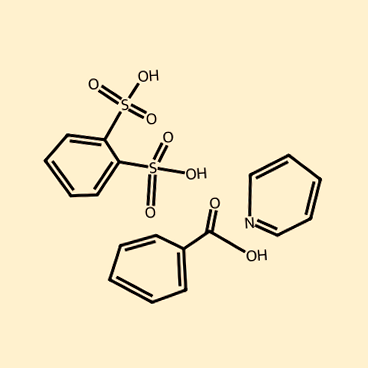 O=C(O)c1ccccc1.O=S(=O)(O)c1ccccc1S(=O)(=O)O.c1ccncc1